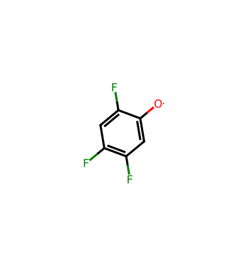 [O]c1cc(F)c(F)cc1F